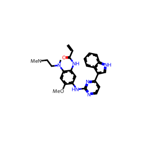 C=CC(=O)Nc1cc(Nc2nccc(-c3c[nH]c4ccccc34)n2)c(OC)cc1N(C)CCNC